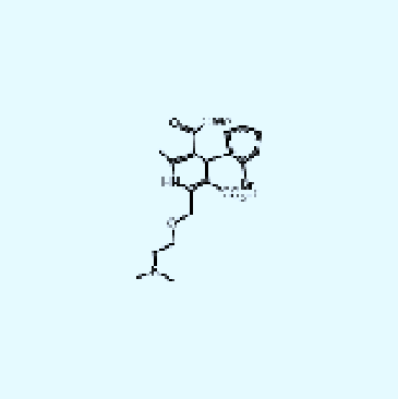 CCOC(=O)C1=C(COCCN(C)C)NC(C)=C(C(=O)OC)C1c1ccccc1Br